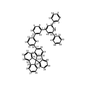 c1ccc(-c2cc(-c3cccc(-c4cccc(-c5ccc6c(c5)C5(c7ccccc7-c7ccccc75)c5ccccc5-6)c4)c3)cc(-c3ccccc3)n2)cc1